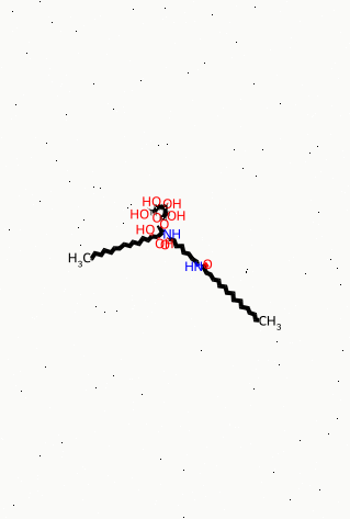 CCCCCCCCCCCCCCCCC(=O)NCCCCCCCC(=O)NC(CO[C@H]1O[C@H](CO)[C@H](O)[C@H](O)[C@H]1O)C(O)C(O)CCCCCCCCCCCCCC